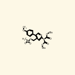 CC(C)(C)OC(=O)N(C(=O)OC(C)(C)C)c1cc(COS(C)(=O)=O)c(-c2ccc(OC(F)(F)F)cc2)cn1